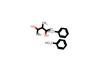 CCCCC(O)C(C)C(O)CC.O=C(O)c1ccccc1.O=C(O)c1ccccc1